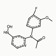 COc1cc(N(C(C)=O)c2cc(NO)ccn2)ccc1F